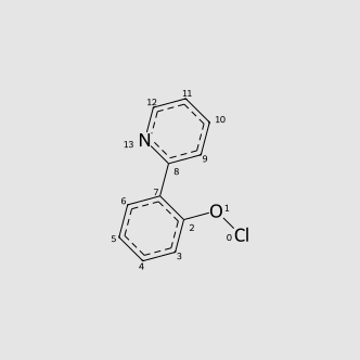 ClOc1ccccc1-c1ccccn1